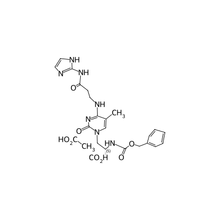 CC(=O)O.Cc1cn(C[C@H](NC(=O)OCc2ccccc2)C(=O)O)c(=O)nc1NCCC(=O)Nc1ncc[nH]1